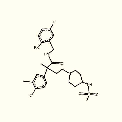 Cc1cc(C(C)(CCN2CCC(NS(C)(=O)=O)CC2)C(=O)NCc2cc(F)ccc2C(F)(F)F)ccc1Cl